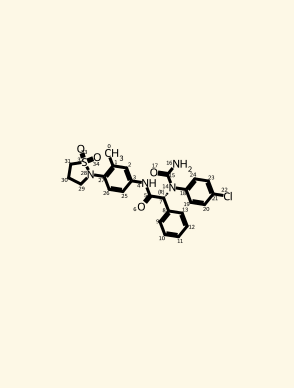 Cc1cc(NC(=O)[C@@H](c2ccccc2)N(C(N)=O)c2ccc(Cl)cc2)ccc1N1CCCS1(=O)=O